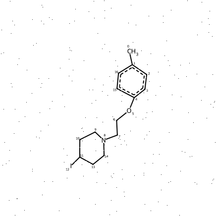 Cc1ccc(OCCN2CCC(I)CC2)cc1